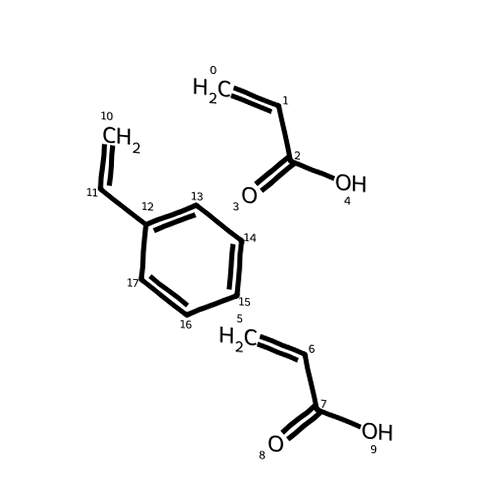 C=CC(=O)O.C=CC(=O)O.C=Cc1ccccc1